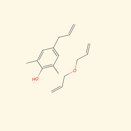 C=CCOCC=C.C=CCc1cc(C)c(O)c(C)c1